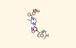 CC(C)C(C(=O)O)c1cc(N2CCN(C(=O)OC(C)(C)C)[C@H](C)C2)no1